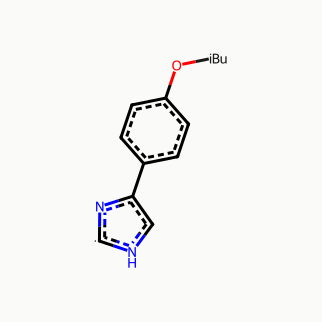 CCC(C)Oc1ccc(-c2c[nH][c]n2)cc1